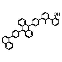 Cc1c(-c2ccc(-c3c4ccccc4c(-c4ccc(-c5cccc6ccccc56)cc4)c4ccccc34)cc2)cccc1-c1ccccc1O